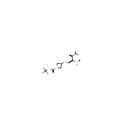 CC(C)(C)OC(=O)N1CC(N/C=C(\C(=N)C(F)F)[N+](=O)[O-])C1